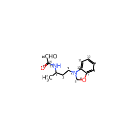 CC(CCN1COc2ccccc21)NC(=O)C=O